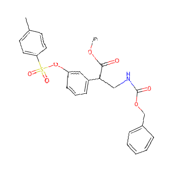 Cc1ccc(S(=O)(=O)Oc2cccc(C(CNC(=O)OCc3ccccc3)C(=O)OC(C)C)c2)cc1